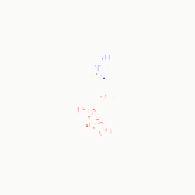 Nc1ccn(CCC2CCC(COP(=O)(O)OP(=O)(O)OP(=O)(O)O)O2)c(=O)n1